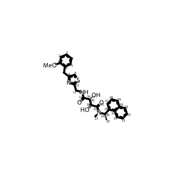 COc1ccccc1Cc1csc(CNC(=O)[C@H](O)[C@@H](O)C(=O)N(C)[C@H](C)c2cccc3ccccc23)n1